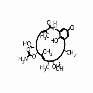 C/C1=C\CC[C@H](CO)[C@@H](OC(N)=O)/C(C)=C/[C@H](C)[C@@H](O)[C@@H](CO)C[C@H](C)Cc2cc(Cl)cc(c2O)NC1=O